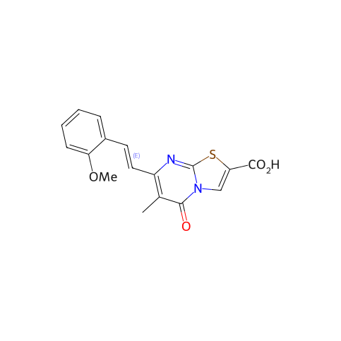 COc1ccccc1/C=C/c1nc2sc(C(=O)O)cn2c(=O)c1C